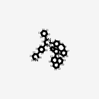 C1=Cc2ccc(-c3nc(-c4ccccc4)cc(-c4ccc(-c5cccnc5)cc4)n3)cc2C2(c3ccccc31)c1ccccc1-c1c2cc2ccc3cccc4ccc1c2c34